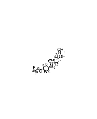 COCC1(O)CCC2(CCN(c3ccc(OCC(F)(F)F)nc3)C2=O)CC1